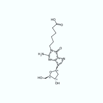 Nc1nc2c(ncn2[C@H]2C[C@H](O)[C@@H](CO)O2)c(=O)n1CCCCCC(=O)O